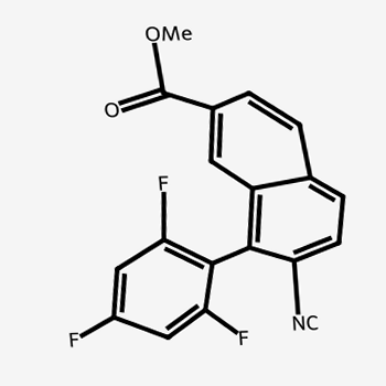 [C-]#[N+]c1ccc2ccc(C(=O)OC)cc2c1-c1c(F)cc(F)cc1F